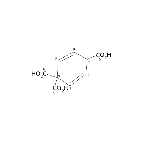 O=C(O)C1C=CC(C(=O)O)(C(=O)O)C=C1